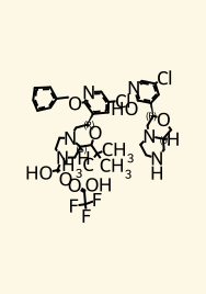 CC(C)(C)C1O[C@H](c2cc(Cl)cnc2OCc2ccccc2)CN2CCN(C(=O)O)C[C@@H]12.O=C(O)C(F)(F)F.Oc1ncc(Cl)cc1[C@@H]1CN2CCNC[C@H]2CO1